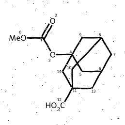 COC(=O)OC12CC3CC(C1)CC(C(=O)O)(C3)C2